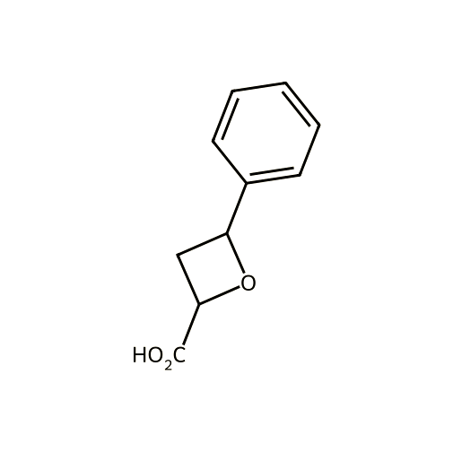 O=C(O)C1CC(c2ccccc2)O1